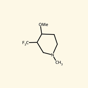 COC1CCN(C)CC1C(F)(F)F